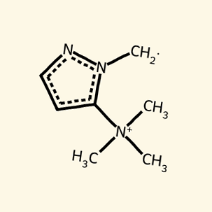 [CH2]n1nccc1[N+](C)(C)C